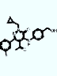 CC(=O)c1c(-c2cccc(F)c2)nn(CC2CC2)c(=O)c1Nc1ccc(CO)cc1